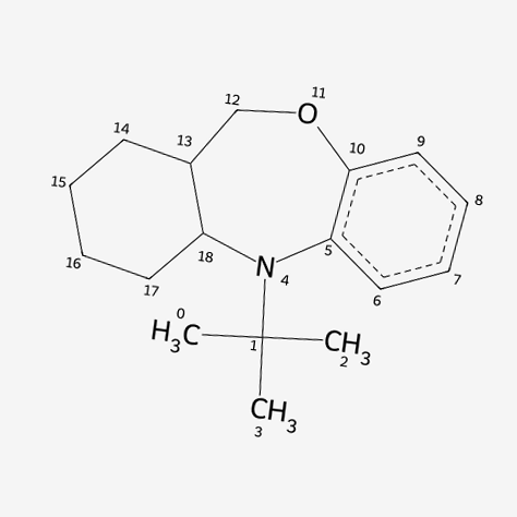 CC(C)(C)N1c2ccccc2OCC2CCCCC21